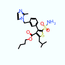 CCCCOC(=O)c1c(CC(C)C)sc(S(N)(=O)=O)c1-c1cccc(Cn2ccnc2C)c1